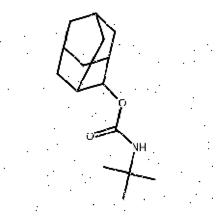 CC(C)(C)NC(=O)OC1C2CC3CC(C2)CC1C3